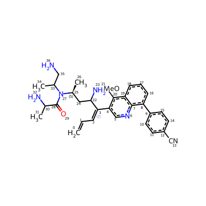 C=C/C=C(/c1cnc2c(-c3ccc(C#N)cc3)cccc2c1OC)C(N)C[C@H](C)N(C(=O)C(C)N)C(C)CN